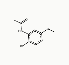 COc1ccc(Br)c(NC(C)=S)c1